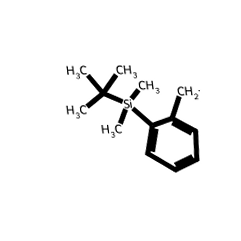 [CH2]c1ccccc1[Si](C)(C)C(C)(C)C